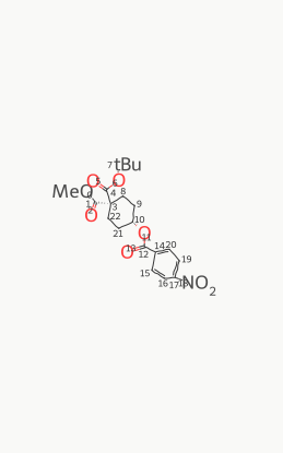 COC(=O)[C@]1(C(=O)OC(C)(C)C)CC[C@H](OC(=O)c2ccc([N+](=O)[O-])cc2)CC1